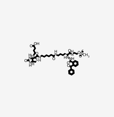 CS(=O)(=S)OCCNC(=O)[C@H](CCCCNC(=O)CCCCCNC(=O)[C@@]1(CCCCC(=O)O)SC[C@@H]2NC(=O)N[C@@H]21)NNC(=O)c1ccccc1C(=O)c1ccccc1